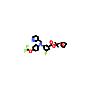 C1CC2CC1O2.CC(C)(C)OC(=O)c1cc(F)cc(N(Cc2cccnc2)c2ccc(OC(F)F)cc2)c1